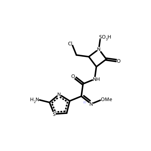 CO/N=C(\C(=O)NC1C(=O)N(S(=O)(=O)O)C1CCl)c1csc(N)n1